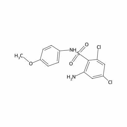 COc1ccc(NS(=O)(=O)c2c(N)cc(Cl)cc2Cl)cc1